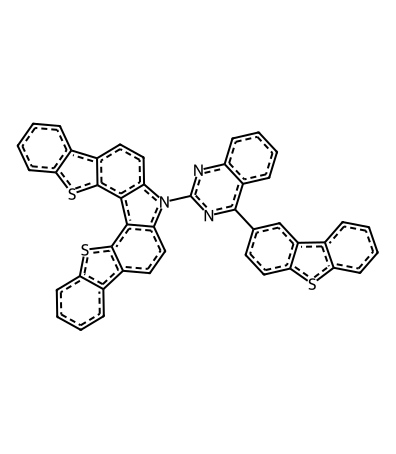 c1ccc2c(-c3ccc4sc5ccccc5c4c3)nc(-n3c4ccc5c6ccccc6sc5c4c4c5sc6ccccc6c5ccc43)nc2c1